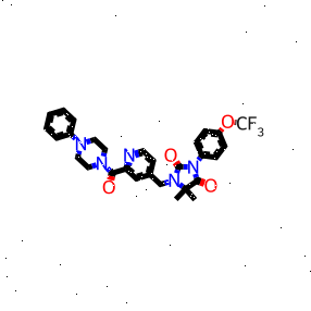 CC1(C)C(=O)N(c2ccc(OC(F)(F)F)cc2)C(=O)N1Cc1ccnc(C(=O)N2CCN(c3ccccc3)CC2)c1